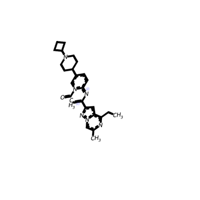 C/C=C(\N=c1\ccc(C2CCN(C3CCC3)CC2)cn1C=O)c1cc2c(CC)nc(C)cn2n1